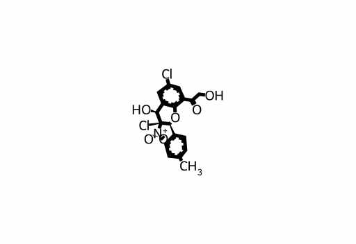 Cc1ccc([C@@H]2Oc3c(C(=O)CO)cc(Cl)cc3[C@H](O)[C@@]2(Cl)[N+](=O)[O-])cc1